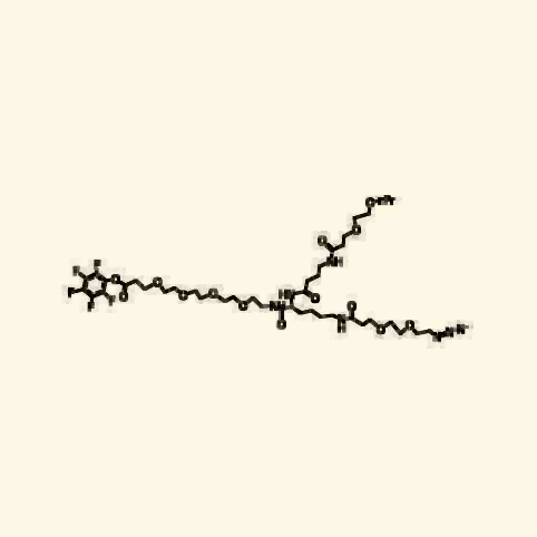 CCCOCCOCCC(=O)NCCCC(=O)N[C@@H](CCCCNC(=O)CCOCCOCCN=[N+]=[N-])C(=O)NCCOCCOCCOCCOCCC(=O)Oc1c(F)c(F)c(F)c(F)c1F